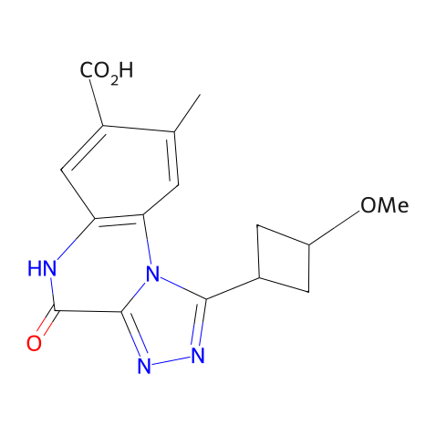 COC1CC(c2nnc3c(=O)[nH]c4cc(C(=O)O)c(C)cc4n23)C1